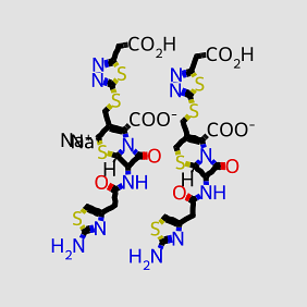 Nc1nc(CC(=O)NC2C(=O)N3C(C(=O)[O-])=C(CSc4nnc(CC(=O)O)s4)CS[C@H]23)cs1.Nc1nc(CC(=O)NC2C(=O)N3C(C(=O)[O-])=C(CSc4nnc(CC(=O)O)s4)CS[C@H]23)cs1.[Na+].[Na+]